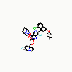 CC(C)(C)OC(=O)N1C2CCC1CN(c1nc(OC[C@@]34CCCN3C[C@H](F)C4)nc3c(F)c(-c4cc(O[Si](C)(C)C(C)(C)C)cc5cccc(Cl)c45)ncc13)C2